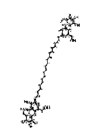 OCC1O[C@H](OC2C(CO)O[C@@H](OCCCCCCCCCCCCCCCCCCOC[C@@H]3OC(CO)C(O[C@@H]4OC(CO)C(O)[C@H](O)C4O)[C@H](O)C3O)C(O)[C@@H]2O)C(O)[C@H](O)C1O